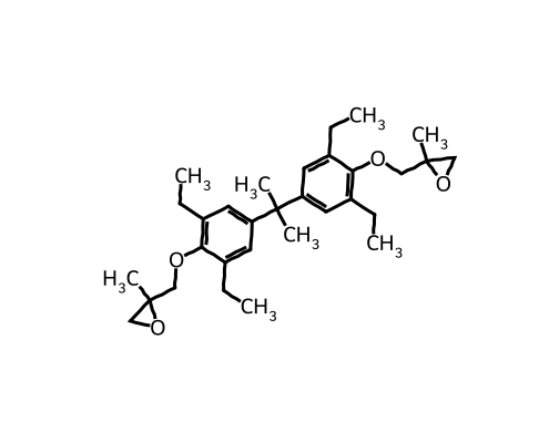 CCc1cc(C(C)(C)c2cc(CC)c(OCC3(C)CO3)c(CC)c2)cc(CC)c1OCC1(C)CO1